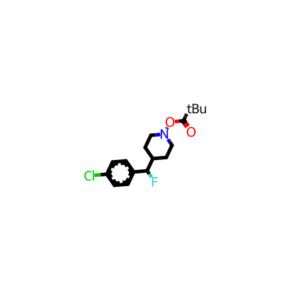 CC(C)(C)C(=O)ON1CCC(C(F)c2ccc(Cl)cc2)CC1